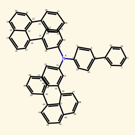 c1ccc(-c2ccc(N(c3cccc(-c4cccc5cccc(-c6ccccc6)c45)c3)c3cccc(-c4cccc5cccc(-c6ccccc6)c45)c3)cc2)cc1